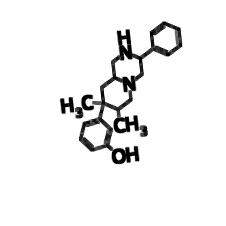 CC1CN2CC(c3ccccc3)NCC2CC1(C)c1cccc(O)c1